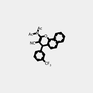 CC(=O)N(C(C)=O)C1=C(C#N)C(c2cccc(C(F)(F)F)c2)c2ccc3ccccc3c2O1